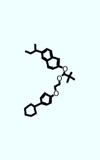 CCC(C)c1ccc2cc(OC(OCCOc3ccc(C4CCCCC4)cc3)C(C)(C)C)ccc2c1